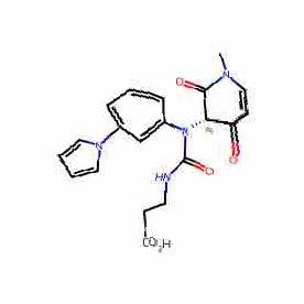 CN1C=CC(=O)[C@H](N(C(=O)NCCC(=O)O)c2cccc(-n3cccc3)c2)C1=O